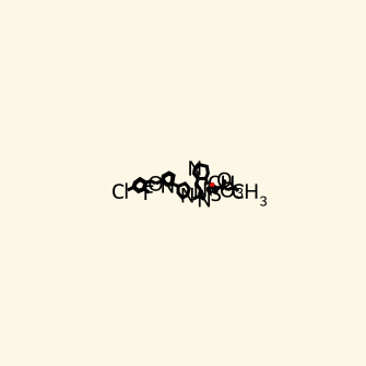 CCOC(=O)c1cc2c(nc(CN3CCC(c4cccc(OCc5ccc(Cl)cc5F)n4)CC3)n2CC2=CN=CCCC2CC)s1